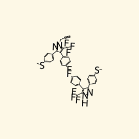 C#CCn1nc(-c2ccc(SC)cc2)c(-c2ccc(F)cc2)c1C(F)(F)F.CSc1ccc(-c2n[nH]c(C(F)(F)F)c2-c2ccc(F)cc2)cc1